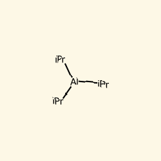 C[CH](C)[Al]([CH](C)C)[CH](C)C